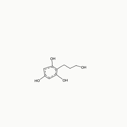 OCCCc1c(O)cc(O)cc1O